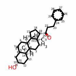 C[C@]12CC[C@H]3[C@@H](CCC4C[C@@H](O)CC[C@@]43C)[C@@H]1CC[C@@H]2C(=O)CCc1ccccc1